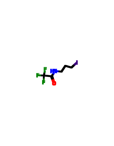 O=C(NCCCI)C(F)(F)F